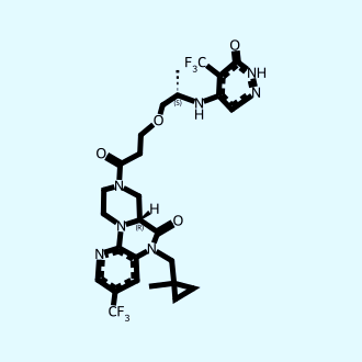 C[C@@H](COCCC(=O)N1CCN2c3ncc(C(F)(F)F)cc3N(CC3(C)CC3)C(=O)[C@H]2C1)Nc1cn[nH]c(=O)c1C(F)(F)F